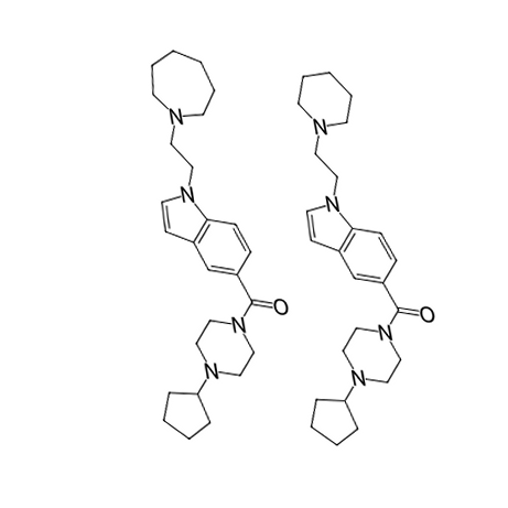 O=C(c1ccc2c(ccn2CCN2CCCCC2)c1)N1CCN(C2CCCC2)CC1.O=C(c1ccc2c(ccn2CCN2CCCCCC2)c1)N1CCN(C2CCCC2)CC1